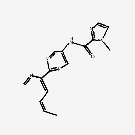 C=N/C(=C\C=C/C)c1ncc(NC(=O)c2nccn2C)cn1